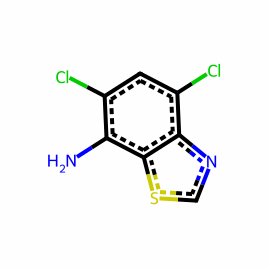 Nc1c(Cl)cc(Cl)c2ncsc12